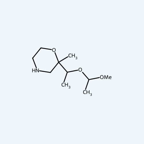 COC(C)OC(C)C1(C)CNCCO1